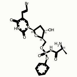 C[C@H](N)C(=O)NP(=O)(OC[C@H]1O[C@@H](n2cc(C=CBr)c(=O)[nH]c2=O)C[C@@H]1O)Oc1ccccc1